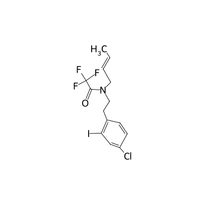 CC=CCN(CCc1ccc(Cl)cc1I)C(=O)C(F)(F)F